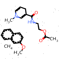 C.CC(=O)OCCNC(=O)C1=CN(C)C=CC1.COc1ccc2ccccc2c1